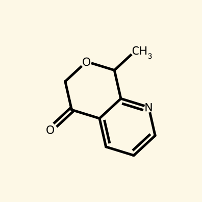 CC1OCC(=O)c2cccnc21